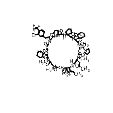 CCC[C@H]1C(=O)N[C@@H]([C@@H](C)CC)C(=O)N(C)CC(=O)N(C)CC(=O)N(C)[C@@H](CC2CCCCC2)C(=O)N(C)CC(=O)N[C@@H](CCc2ccc(C(F)(F)F)c(Cl)c2)C(=O)N2CCC[C@H]2C(=O)NC2(CCCC2)C(=O)N(C)[C@@H](C2CCCCC2)C(=O)N(C)[C@H](C(=O)N2CCCC2)CC(=O)N1C